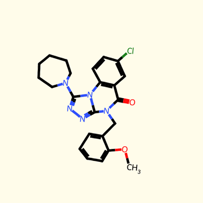 COc1ccccc1Cn1c(=O)c2cc(Cl)ccc2n2c(N3CCCCCC3)nnc12